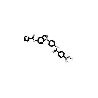 CCON(C)c1ccc(C(=O)Nc2ccc(-n3ncc4cc(NC(=O)c5cccs5)ccc43)cc2)cc1